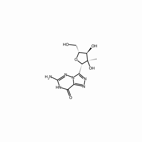 C[C@@]1(O)[C@H](O)[C@@H](CO)O[C@H]1c1nnc2c(=O)[nH]c(N)nn12